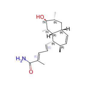 C/C(=C\C=C\[C@@H]1[C@@H]2[C@H](C)[C@@H](O)[C@H](C)C[C@@H]2C=C[C@H]1C)C(N)=O